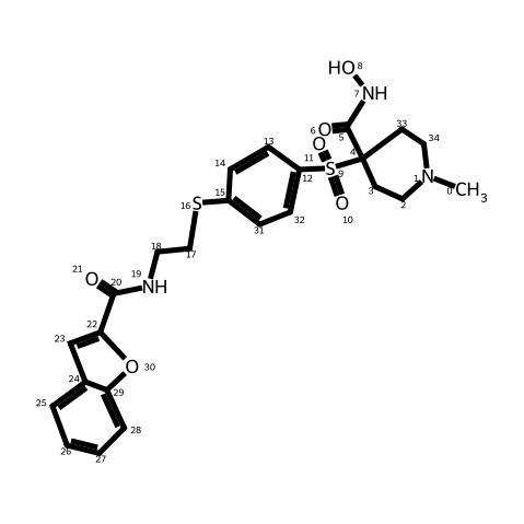 CN1CCC(C(=O)NO)(S(=O)(=O)c2ccc(SCCNC(=O)c3cc4ccccc4o3)cc2)CC1